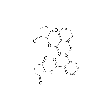 O=C(ON1C(=O)CCC1=O)c1ccccc1SSc1ccccc1C(=O)ON1C(=O)CCC1=O